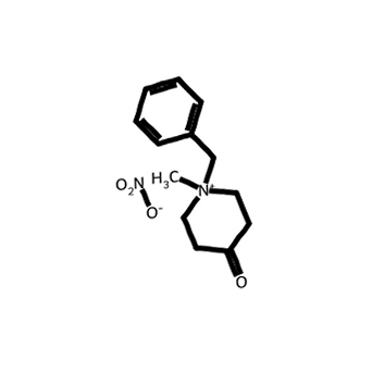 C[N+]1(Cc2ccccc2)CCC(=O)CC1.O=[N+]([O-])[O-]